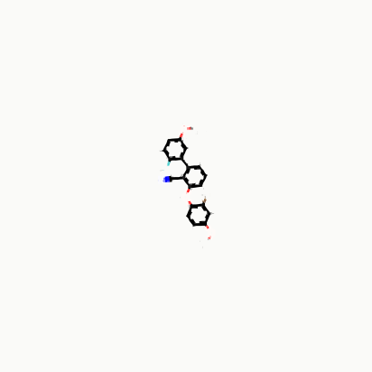 COc1ccc(Oc2cccc(-c3cc(OC)ccc3F)c2C#N)c(Br)c1